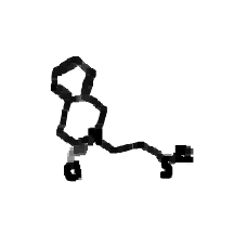 CCSCCN1Cc2ccccc2C[C@H]1Cl